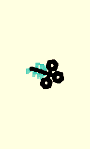 FCC(F)(F)C(F)(F)C(F)(F)C(c1ccccc1)(c1ccccc1)c1ccccc1